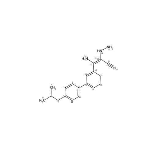 CC(C)Cc1ccc(-c2cccc(/C(N)=C(\C#N)NN)c2)cc1